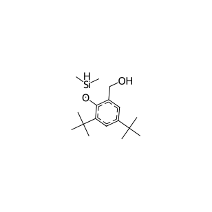 C[SiH](C)Oc1c(CO)cc(C(C)(C)C)cc1C(C)(C)C